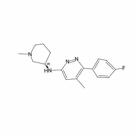 Cc1cc(N[C@@H]2CCCN(C)C2)nnc1-c1ccc(F)cc1